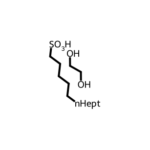 CCCCCCCCCCCCS(=O)(=O)O.OCCO